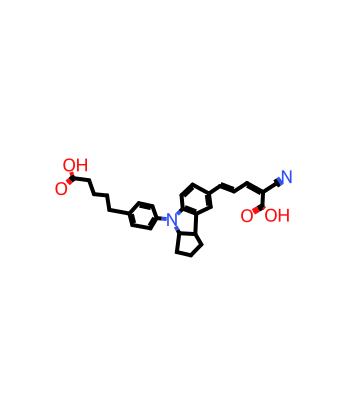 N#CC(=CC=Cc1ccc2c(c1)C1CCCC1N2c1ccc(CCCCC(=O)O)cc1)C(=O)O